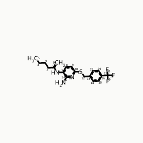 C=C(CCCC)Nc1ccc(SCc2ccc(C(F)(F)F)cc2)nc1N